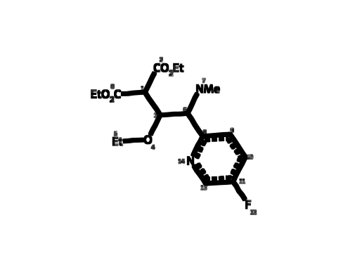 CCOC(=O)C(C(=O)OCC)C(OCC)C(NC)c1ccc(F)cn1